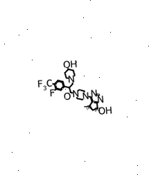 C[C@@H]1C[C@@H](O)c2ncnc(N3CCN(C(=O)C(CN4CCC(O)CC4)c4ccc(C(F)(F)F)c(F)c4)CC3)c21